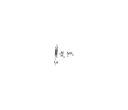 [AlH3].[La].[O]=[Ti].[SrH2]